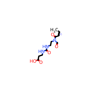 C/C=C\C(=O)N(C=O)CCNC(=O)NCCC(=O)O